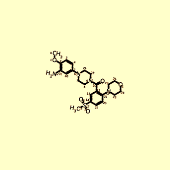 COc1ccc(N2CCN(C(=O)c3cc(S(C)(=O)=O)ccc3N3CCOCC3)CC2)cc1N